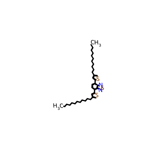 CCCCCCCCCCCCc1csc(-c2ccc(-c3cc(CCCCCCCCCCCC)cs3)c3nsnc23)c1